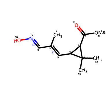 COC(=O)C1C(/C=C(C)/C=N/O)C1(C)C